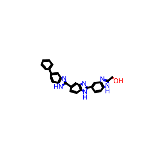 OCc1nc2cc(-c3nc4cc(-c5nc6cc(-c7ccccc7)ccc6[nH]5)ccc4[nH]3)ccc2[nH]1